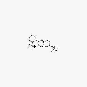 CC1CCCN1C1CCc2cc(-c3ccccc3C(F)(F)F)ccc2C1